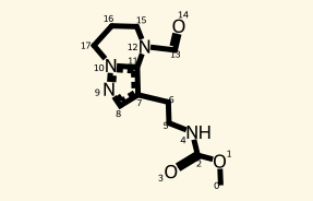 COC(=O)NCCc1cnn2c1N(C=O)CCC2